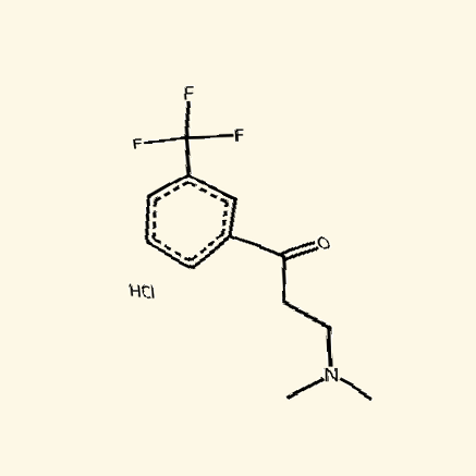 CN(C)CCC(=O)c1cccc(C(F)(F)F)c1.Cl